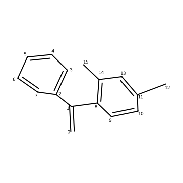 C=C(c1ccccc1)c1ccc(C)cc1C